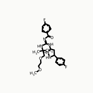 COCCOCC(C)(C)N/C(=N/C(=O)c1ccc(F)cc1)NC1CC(c2ccc(F)cc2)NN1